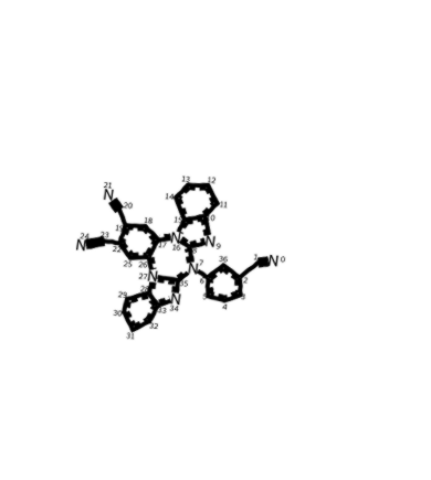 N#Cc1cccc(-n2c3nc4ccccc4n3c3cc(C#N)c(C#N)cc3n3c4ccccc4nc23)c1